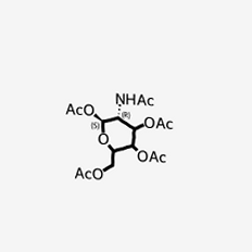 CC(=O)N[C@@H]1C(OC(C)=O)C(OC(C)=O)C(COC(C)=O)O[C@H]1OC(C)=O